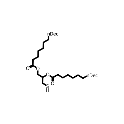 CCCCCCCCCCCCCCCCC(=O)OCC(CS)OC(=O)CCCCCCCCCCCCCCCC